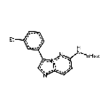 CCCCCCNc1ccc2ncc(-c3cccc(CC)c3)n2n1